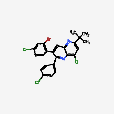 CC(C)(C)c1cc(Cl)c2nc(-c3ccc(Cl)cc3)c(-c3ccc(Cl)cc3Br)cc2n1